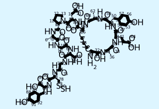 C[C@H](NC(=O)[C@H](C)NC(=O)[C@@H]1CCCN1C(=O)[C@H](CC(=O)O)NC(=O)[C@@H]1CSSC[C@H](N)C(=O)N[C@@H](C)C(=O)N[C@@H](CCC(=O)O)C(=O)N[C@@H](Cc2ccc(O)cc2)C(=O)N[C@@H](C)C(=O)N1)C(=O)N[C@H](C(=O)NCC(=O)N[C@@H](CSS)C(=O)N[C@@H](Cc1ccc(O)cc1)C(=O)O)[C@H](C)O